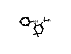 CC(C)NC1=CCC(C)(C)C=C1Nc1ccccc1